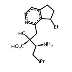 CCC1CCc2ccnc(C[C@](O)(C(=O)O)[C@@H](N)CC(C)C)c21